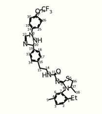 CCc1ccc(C)cc1N1/C(=N/C(=O)NCCc2ccc(C3N=CN(c4ccc(OC(F)(F)F)cc4)N3)cc2)SCC1C